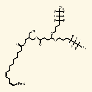 CCCCC/C=C\C/C=C\CCCCCCCC(=O)OCC(CO)COC(=O)CCC(OCCCC(F)(F)C(F)(F)C(F)(F)C(F)(F)F)OCCCC(F)(F)C(F)(F)C(F)(F)C(F)(F)F